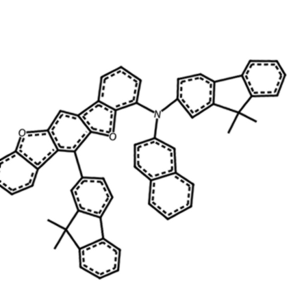 CC1(C)c2ccccc2-c2ccc(-c3c4oc5c(N(c6ccc7c(c6)C(C)(C)c6ccccc6-7)c6ccc7ccccc7c6)cccc5c4cc4oc5ccccc5c34)cc21